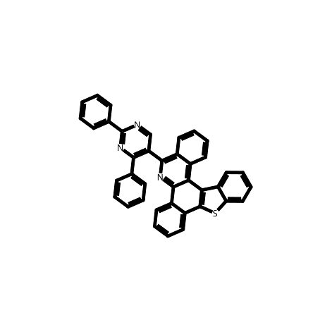 c1ccc(-c2ncc(-c3nc4c5ccccc5c5sc6ccccc6c5c4c4ccccc34)c(-c3ccccc3)n2)cc1